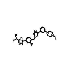 CCN1CCN(c2cccc(-c3cn(Cc4ccc(-c5nnc(C(F)F)o5)cc4F)nn3)c2)CC1